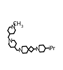 CC(C)C1CCN(C2CC3(CCN(CC4CCN(CC5CCN(C)CC5)CC4)CC3)C2)CC1